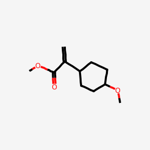 C=C(C(=O)OC)C1CCC(OC)CC1